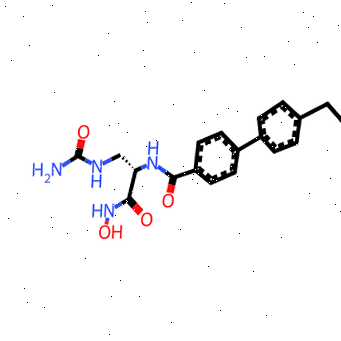 CCc1ccc(-c2ccc(C(=O)N[C@@H](CNC(N)=O)C(=O)NO)cc2)cc1